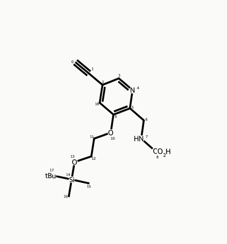 C#Cc1cnc(CNC(=O)O)c(OCCO[Si](C)(C)C(C)(C)C)c1